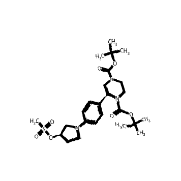 CC(C)(C)OC(=O)N1CCN(C(=O)OC(C)(C)C)[C@@H](c2ccc(N3CC[C@@H](OS(C)(=O)=O)C3)cc2)C1